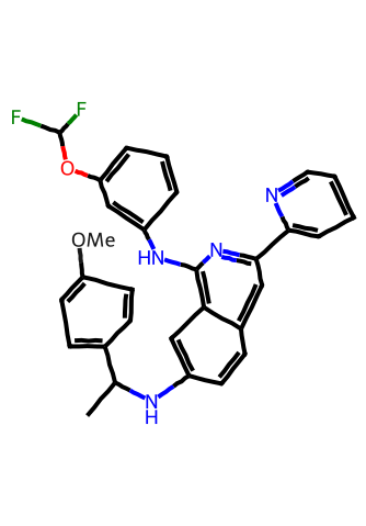 COc1ccc(C(C)Nc2ccc3cc(-c4ccccn4)nc(Nc4cccc(OC(F)F)c4)c3c2)cc1